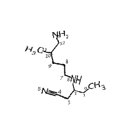 CCC(CC#N)NCCCC(C)CN